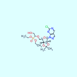 CCOP(=O)(OCC)C(CO)OC[C@H]1O[C@@H](n2ncc3[c]nc(Cl)nc32)[C@@H]2OC(C)(C)O[C@@H]21